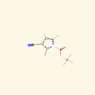 Cc1c(Br)c(C#N)c(C)n1C(=O)OC(C)(C)C